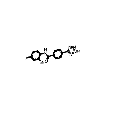 O=C(Nc1ccc(I)cc1Br)c1ccc(-c2nn[nH]n2)cc1